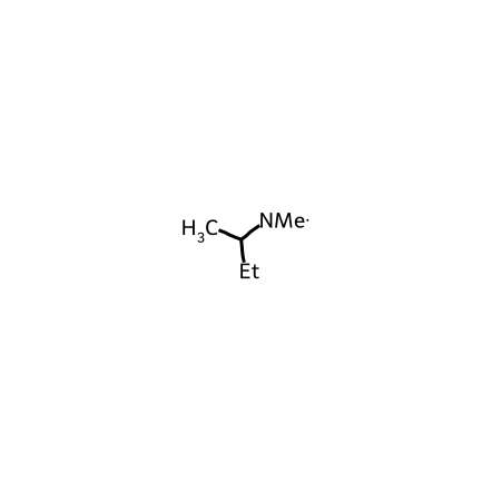 CCC(C)[N]C